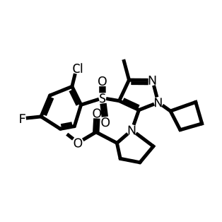 COC(=O)C1CCCN1c1c(S(=O)(=O)c2ccc(F)cc2Cl)c(C)nn1C1CCC1